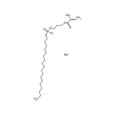 CC=C(O)C(=O)OCCCOP(=O)([O-])OCCCCCCCCCCCCCCCCCC.[Na+]